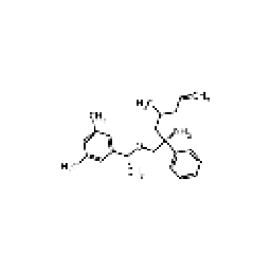 C=CCC(C)C[C@@](N)(CO[C@H](C)c1cc(C)cc(C)c1)c1ccccc1